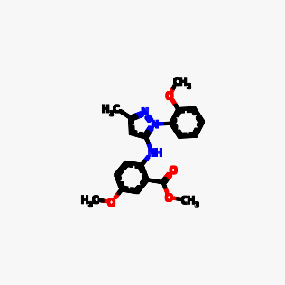 COC(=O)c1cc(OC)ccc1Nc1cc(C)nn1-c1ccccc1OC